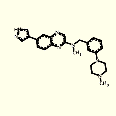 CN1CCN(c2cccc(CN(C)c3cnc4cc(-c5cn[nH]c5)ccc4n3)c2)CC1